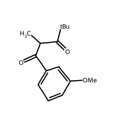 COc1cccc(C(=O)C(C)C(=O)C(C)(C)C)c1